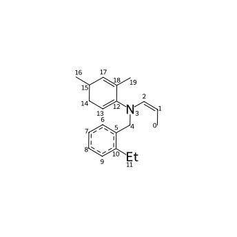 C/C=C\N(Cc1ccccc1CC)C1=CCC(C)C=C1C